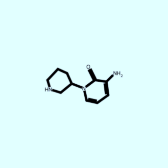 Nc1cccn(C2CCCNC2)c1=O